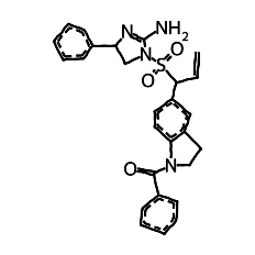 C=CC(c1ccc2c(c1)CCN2C(=O)c1ccccc1)S(=O)(=O)N1CC(c2ccccc2)N=C1N